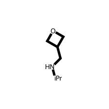 CC(C)NCC1COC1